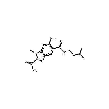 Cc1c(C(N)=O)oc2cc(C(=O)NCCN(C)C)c(N)cc12